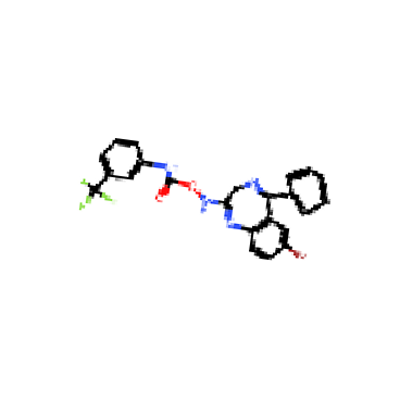 O=C(Nc1cccc(C(F)(F)F)c1)ONC1=Nc2ccc(Br)cc2C(c2ccccc2)=NC1